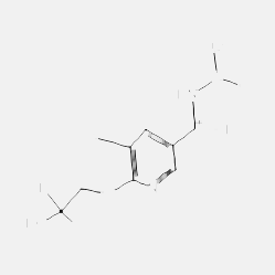 C[C@@H](N[S+]([O-])C(C)(C)C)c1cnc(OCC(C)(F)F)c(Cl)c1